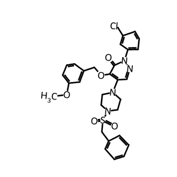 COc1cccc(COc2c(N3CCN(S(=O)(=O)Cc4ccccc4)CC3)cnn(-c3cccc(Cl)c3)c2=O)c1